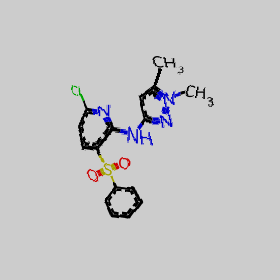 Cc1cc(Nc2nc(Cl)ccc2S(=O)(=O)c2ccccc2)nn1C